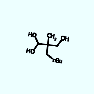 CCCCCC(C)(CO)C(O)O